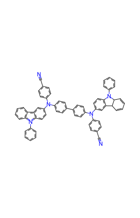 N#Cc1ccc(N(c2ccc(-c3ccc(N(c4ccc(C#N)cc4)c4ccc5c(c4)c4ccccc4n5-c4ccccc4)cc3)cc2)c2ccc3c(c2)C2C=CC=CC2N3c2ccccc2)cc1